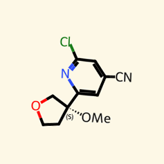 CO[C@]1(c2cc(C#N)cc(Cl)n2)CCOC1